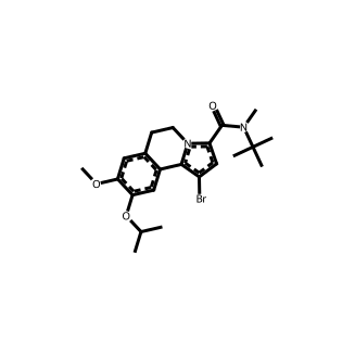 COc1cc2c(cc1OC(C)C)-c1c(Br)cc(C(=O)N(C)C(C)(C)C)n1CC2